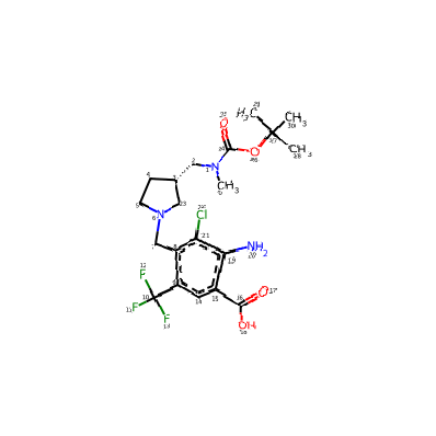 CN(C[C@H]1CCN(Cc2c(C(F)(F)F)cc(C(=O)O)c(N)c2Cl)C1)C(=O)OC(C)(C)C